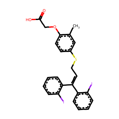 Cc1cc(SCC=C(c2ccccc2I)c2ccccc2I)ccc1OCC(=O)O